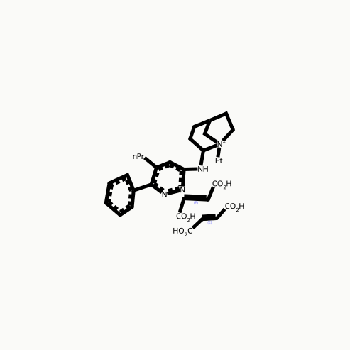 CCCc1cc(NC2CCC3CC[N+]2(CC)C3)nnc1-c1ccccc1.O=C(O)/C=C/C(=O)O.O=C(O)/C=C/C(=O)O